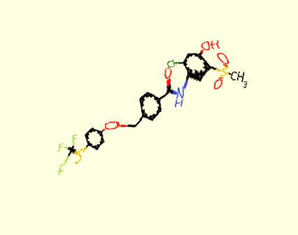 CS(=O)(=O)c1cc(NC(=O)c2ccc(COc3ccc(SC(F)(F)F)cc3)cc2)c(Cl)cc1O